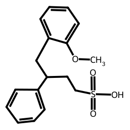 COc1ccccc1CC(CCS(=O)(=O)O)c1ccccc1